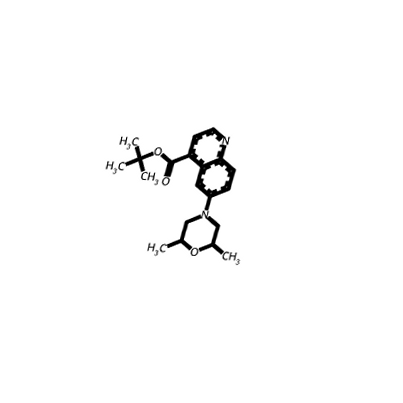 CC1CN(c2ccc3nccc(C(=O)OC(C)(C)C)c3c2)CC(C)O1